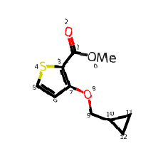 COC(=O)c1sccc1OCC1CC1